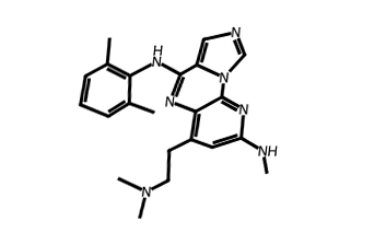 CNc1cc(CCN(C)C)c2nc(Nc3c(C)cccc3C)c3cncn3c2n1